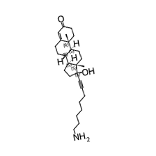 C[C@]12CCC(=O)C=C1CC[C@@H]1[C@@H]2CC[C@@]2(C)[C@H]1CC[C@@]2(O)C#CCCCCCCN